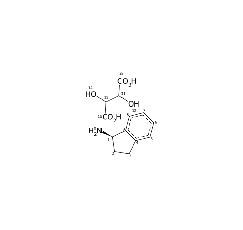 N[C@@H]1CCc2ccccc21.O=C(O)C(O)C(O)C(=O)O